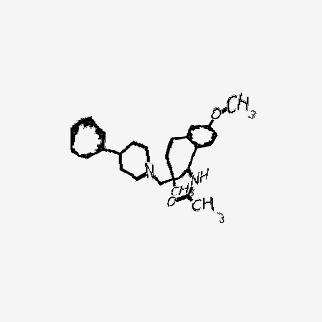 COc1ccc2c(c1)CCC(C)(CN1CCC(c3ccccc3)CC1)C2NC(C)=O